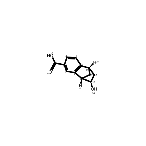 O=C(O)c1ccc2c(c1)[C@@H]1C[C@H]2C[C@H]1O